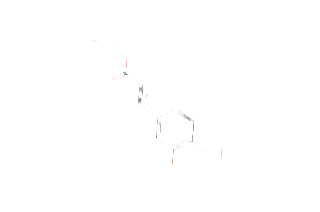 COC(=O)/C=C/c1ccc(C)c(Br)c1